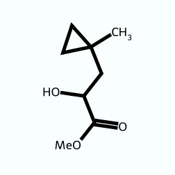 COC(=O)C(O)CC1(C)CC1